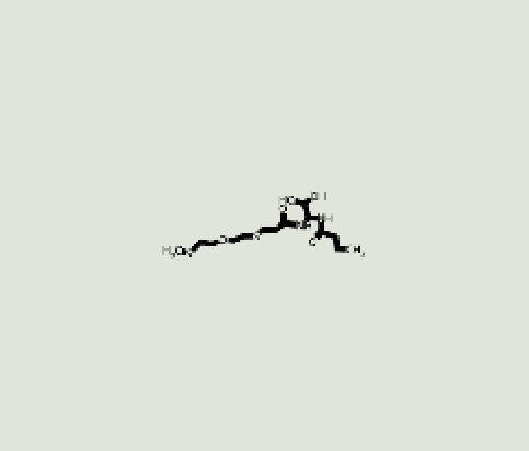 CCCC(=O)NC(NC(=O)CCSCCOCCSC)C(O)O